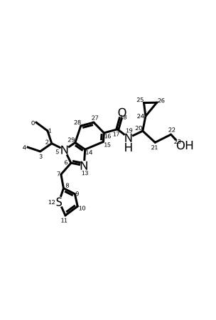 CCC(CC)n1c(Cc2cccs2)nc2cc(C(=O)NC(CCO)C3CC3)ccc21